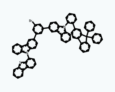 Brc1cc(-c2ccc3c(c2)c2ccccc2n3-c2ccccc2-c2ccc3c(c2)C(c2ccccc2)(c2ccccc2)c2ccccc2-3)cc(-c2ccc3c(c2)c2ccccc2n3-c2cccc3c2sc2ccccc23)c1